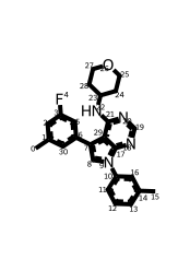 Cc1cc(F)cc(-c2cn(-c3cccc(C)c3)c3ncnc(NC4CCOCC4)c23)c1